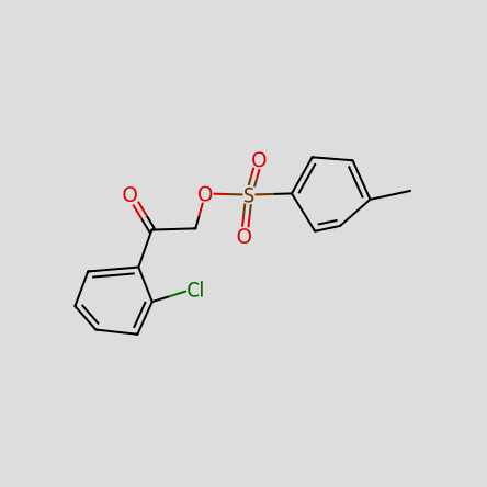 Cc1ccc(S(=O)(=O)OCC(=O)c2ccccc2Cl)cc1